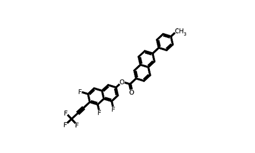 Cc1ccc(-c2ccc3cc(C(=O)Oc4cc(F)c5c(F)c(C#CC(F)(F)F)c(F)cc5c4)ccc3c2)cc1